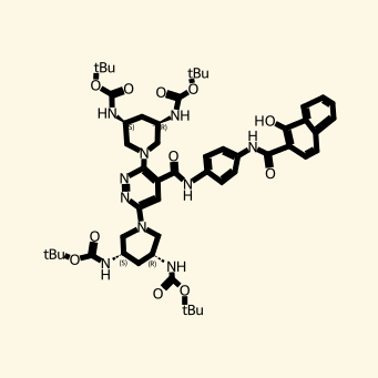 CC(C)(C)OC(=O)N[C@@H]1C[C@H](NC(=O)OC(C)(C)C)CN(c2cc(C(=O)Nc3ccc(NC(=O)c4ccc5ccccc5c4O)cc3)c(N3C[C@H](NC(=O)OC(C)(C)C)C[C@H](NC(=O)OC(C)(C)C)C3)nn2)C1